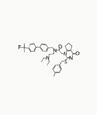 CCN(CC)CCN(Cc1ccc(-c2ccc(C(C)(C)F)cc2)cc1)C(=O)Cn1c(SCc2ccc(C)cc2)nc(=O)c2c1CCC2